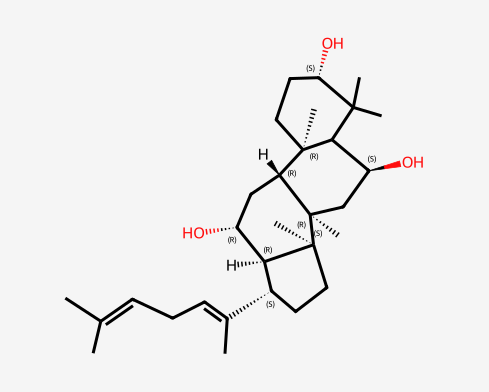 CC(C)=CCC=C(C)[C@H]1CC[C@@]2(C)[C@@H]1[C@H](O)C[C@@H]1[C@@]3(C)CC[C@H](O)C(C)(C)C3[C@@H](O)C[C@]12C